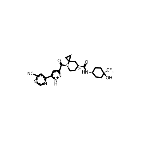 N#Cc1cc(-c2cc(C(=O)N3CC[C@H](C(=O)N[C@H]4CC[C@@](O)(C(F)(F)F)CC4)CC34CC4)n[nH]2)ncn1